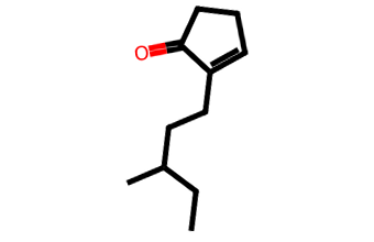 CCC(C)CCC1=CCCC1=O